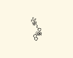 O=S(=O)(Nc1cccc2ccccc12)c1cccc(C=Cc2noc(C(F)(F)F)n2)c1